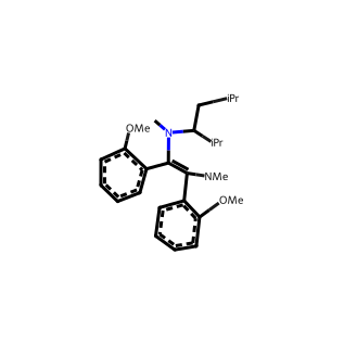 CN/C(=C(/c1ccccc1OC)N(C)C(CC(C)C)C(C)C)c1ccccc1OC